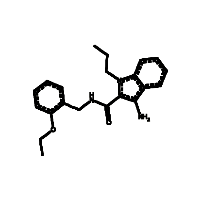 CCCn1c(C(=O)NCc2ccccc2OCC)c(N)c2ccccc21